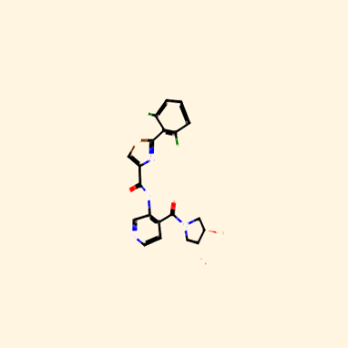 O=C(Nc1cnccc1C(=O)N1C[C@@H](O)[C@H](O)C1)c1csc(-c2c(F)cccc2F)n1